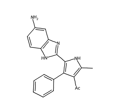 CC(=O)c1c(C)[nH]c(-c2nc3cc(N)ccc3[nH]2)c1-c1ccccc1